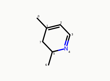 CC1=CC=NC(C)C1